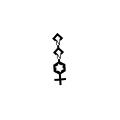 CC(C)(C)c1ccc(N2CC(N3CCC3)C2)cc1